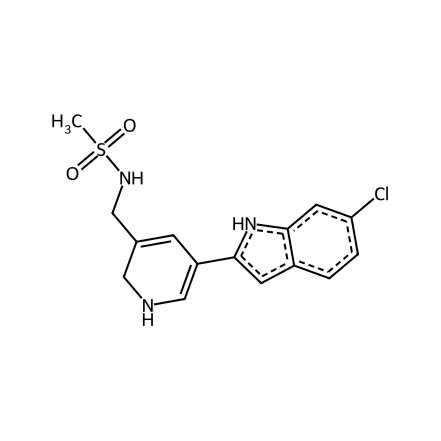 CS(=O)(=O)NCC1=CC(c2cc3ccc(Cl)cc3[nH]2)=CNC1